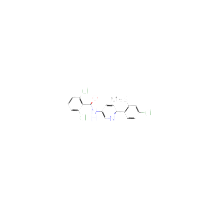 CSc1cc(Cl)ccc1-c1ccc(NC(=O)c2c(Cl)cccc2Cl)cn1